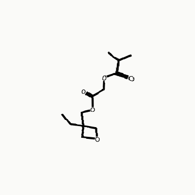 CCC1(COC(=O)COC(=O)C(C)C)COC1